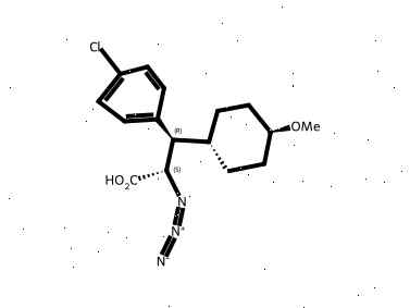 CO[C@H]1CC[C@H]([C@H](c2ccc(Cl)cc2)[C@H](N=[N+]=[N-])C(=O)O)CC1